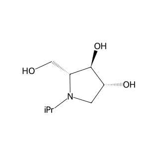 CC(C)N1C[C@@H](O)[C@H](O)[C@H]1CO